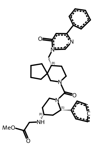 COC(=O)CN[C@@H]1CCN(C(=O)N2CC[C@@H](Cn3cnc(-c4ccccc4)cc3=O)C3(CCCC3)C2)[C@H](c2ccccc2)C1